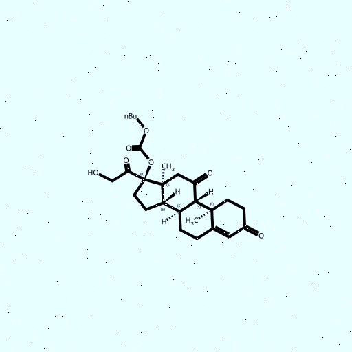 CCCCOC(=O)O[C@]1(C(=O)CO)CC[C@H]2[C@@H]3CCC4=CC(=O)CC[C@]4(C)[C@H]3C(=O)C[C@@]21C